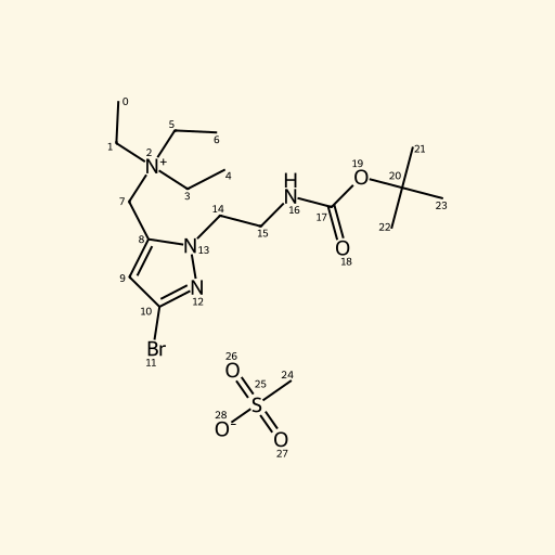 CC[N+](CC)(CC)Cc1cc(Br)nn1CCNC(=O)OC(C)(C)C.CS(=O)(=O)[O-]